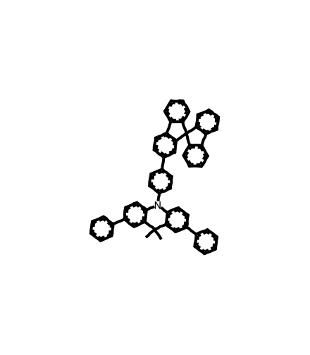 CC1(C)c2cc(-c3ccccc3)ccc2N(c2ccc(-c3ccc4c(c3)C3(c5ccccc5-c5ccccc53)c3ccccc3-4)cc2)c2ccc(-c3ccccc3)cc21